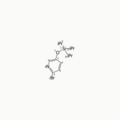 CC(C)[Si](Oc1ccc(Br)nc1)(C(C)C)C(C)C